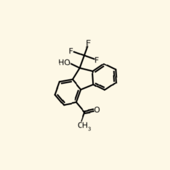 CC(=O)c1cccc2c1-c1ccccc1C2(O)C(F)(F)F